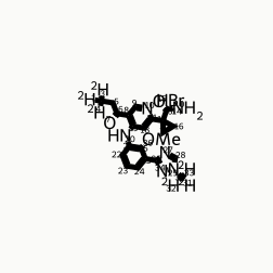 Br.[2H]C([2H])([2H])CC(=O)c1cnc(C2(C(N)=O)CC2)cc1Nc1cccc(-c2ncn(C([2H])([2H])[2H])n2)c1OC